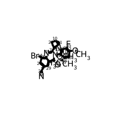 COc1ccc(-n2c(C34CC(CN3C(=O)OC(C)(C)C)C4)nc3c(Br)cc(C#N)cc3c2=O)cc1F